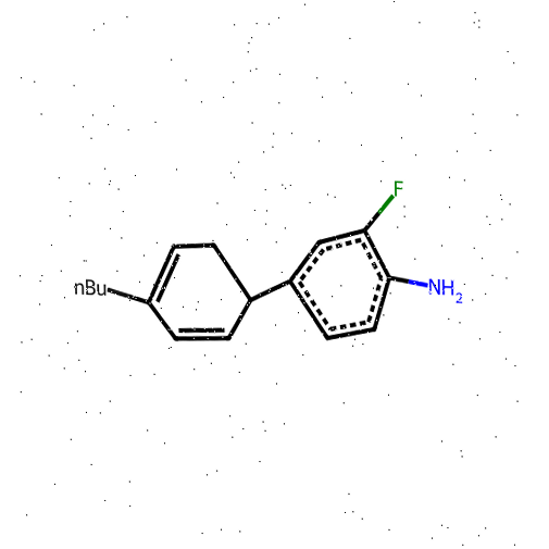 CCCCC1=CCC(c2ccc(N)c(F)c2)C=C1